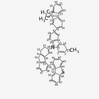 CC1C=Cc2c(c3cc(-c4ccc5c(c4)C(C)(C)c4ccccc4-5)ccc3n2C2=CC3=C(CC2)Cc2cccc(-c4cccc5sc6ccccc6c45)c23)C1